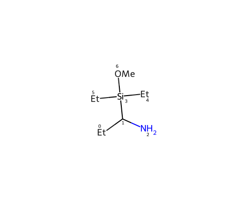 CCC(N)[Si](CC)(CC)OC